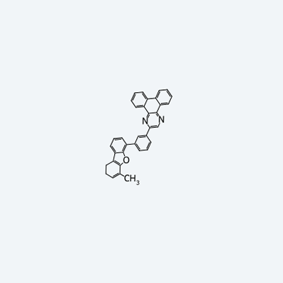 CC1=CCCc2c1oc1c(-c3cccc(-c4cnc5c6ccccc6c6ccccc6c5n4)c3)cccc21